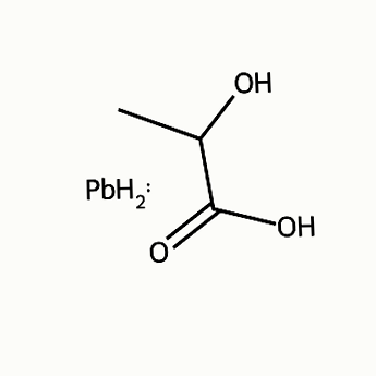 CC(O)C(=O)O.[PbH2]